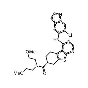 COCCN(CCOC)C(=O)[C@H]1CCc2c(sc3ncnc(Nc4cc5ccnn5cc4Cl)c23)C1